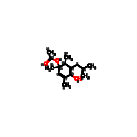 C=C(C)CC1=C(O)C(C)=CC(C)(OC(C)=O)C1C